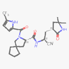 CC1(C)C[C@@H](C[C@@H](C#N)NC(=O)[C@@H]2CC3(CCCC3)CN2C(=O)c2ccc(C(F)(F)F)[nH]2)C(=O)N1